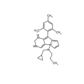 CCCN(CC1CC1)[N+]12C=CC=C1C(c1c(C)cc(C)cc1C)=C1NCNC=C12